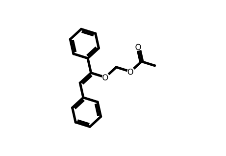 CC(=O)OCOC(=Cc1ccccc1)c1ccccc1